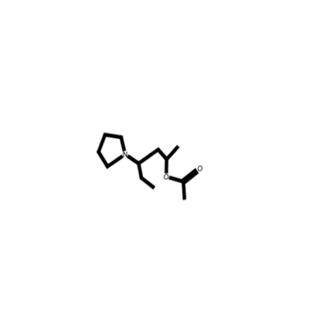 CCC(CC(C)OC(C)=O)N1CCCC1